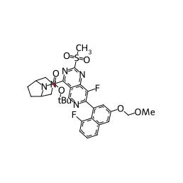 COCOc1cc(-c2ncc3c(N4CC5CCC(C4)N5C(=O)OC(C)(C)C)nc(S(C)(=O)=O)nc3c2F)c2c(F)cccc2c1